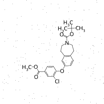 COC(=O)c1ccc(Oc2ccc3c(c2)CCN(C(=O)OC(C)(C)C)CC3)c(Cl)c1